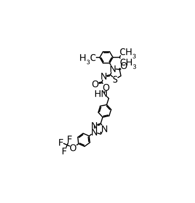 Cc1ccc(C(C)C)c(N2C(=O)CS/C2=N\C(=O)ONCc2ccc(-c3ncn(-c4ccc(OC(F)(F)F)cc4)n3)cc2)c1